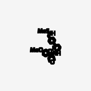 COc1ccc(C2(C(=O)Nc3cccc(-c4ccc(CNSC)cc4)n3)CCOCC2)cc1